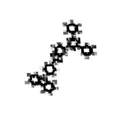 C1=C(c2nc3cc(-c4nc(-c5ccccc5)nc(-c5ccccc5)n4)ccc3s2)CCC(n2c3ccccc3c3ccccc32)=C1